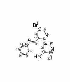 Cc1cc(-c2ncc(Br)cc2/C=C/c2ccccc2)cnc1I